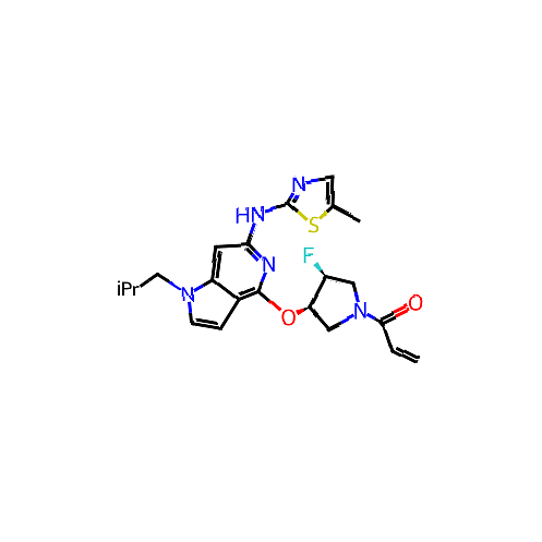 C=CC(=O)N1C[C@H](F)[C@H](Oc2nc(Nc3ncc(C)s3)cc3c2ccn3CC(C)C)C1